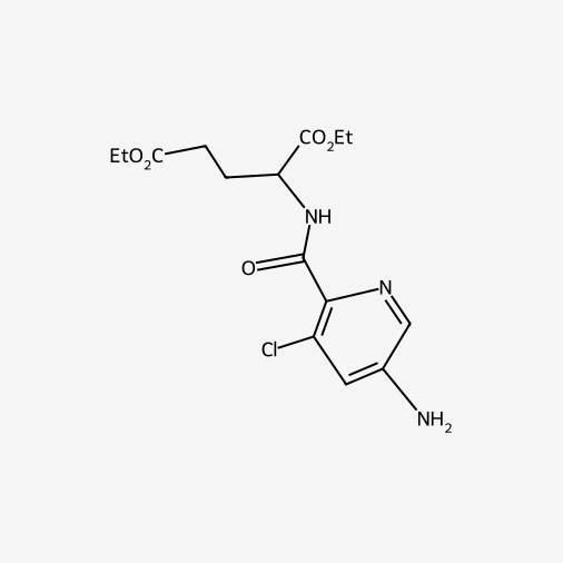 CCOC(=O)CCC(NC(=O)c1ncc(N)cc1Cl)C(=O)OCC